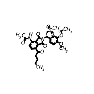 CCCCC(=O)c1ccc(NC(C)=O)c2c1C(=O)N([C@H](CS(C)(=O)=O)c1ccc(OC)c(OCC)c1)C2=O